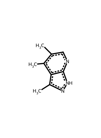 Cc1cnc2[nH]nc(C)c2c1C